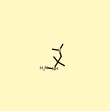 CN(C)CC(C)(C)NN